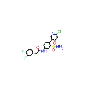 NS(=O)(=O)c1cc(NC(=O)Cc2ccc(F)c(F)c2)ccc1-c1ccc(Cl)nc1